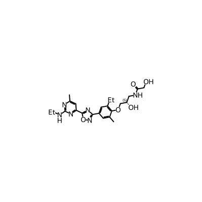 CCNc1nc(C)cc(-c2nc(-c3cc(C)c(OC[C@@H](O)CNC(=O)CO)c(CC)c3)no2)n1